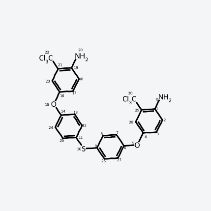 Nc1ccc(Oc2ccc(Sc3ccc(Oc4ccc(N)c(C(Cl)(Cl)Cl)c4)cc3)cc2)cc1C(Cl)(Cl)Cl